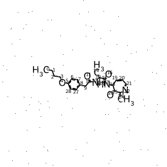 CCCCOc1ccc(CC(=O)N[C@@H](C)C(=O)NC2C=CC=NC(C)C2=O)cc1